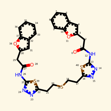 O=C(Cc1cc2ccccc2o1)Nc1nnc(CCSCCc2nnc(NC(=O)Cc3cc4ccccc4o3)s2)s1